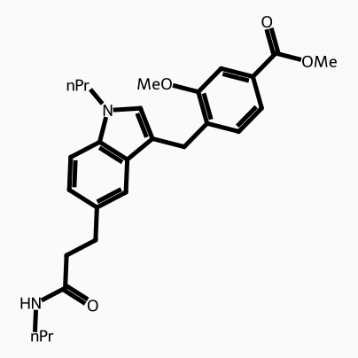 CCCNC(=O)CCc1ccc2c(c1)c(Cc1ccc(C(=O)OC)cc1OC)cn2CCC